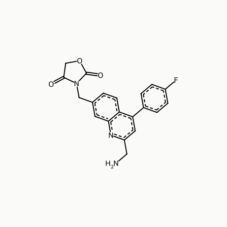 NCc1cc(-c2ccc(F)cc2)c2ccc(CN3C(=O)COC3=O)cc2n1